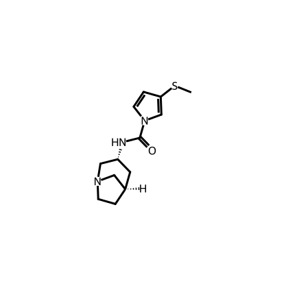 CSc1ccn(C(=O)N[C@@H]2C[C@H]3CCN(C3)C2)c1